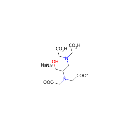 O=C([O-])CN(CC(=O)[O-])C(CO)CN(CC(=O)O)CC(=O)O.[Na+].[Na+]